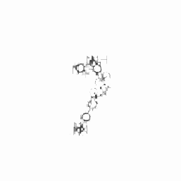 CCN(C(=O)[C@@H]1CCN(CC(=O)N2CC=C(c3ccc(-c4ncn(C)n4)cc3)CC2)C1)c1ccc2[nH]nc(-c3ccncc3F)c2c1